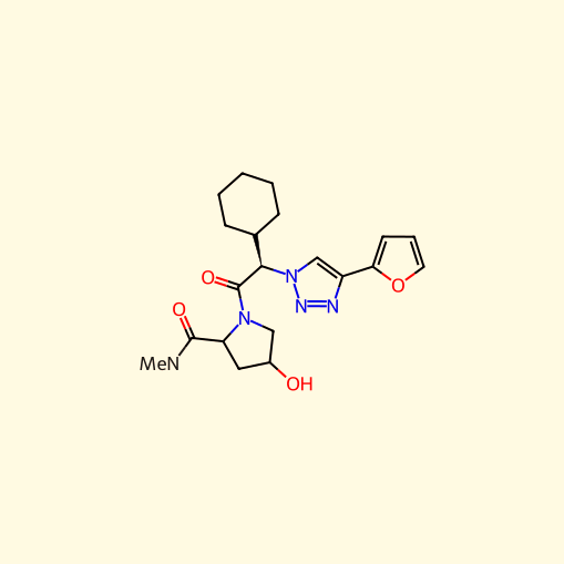 CNC(=O)C1CC(O)CN1C(=O)[C@@H](C1CCCCC1)n1cc(-c2ccco2)nn1